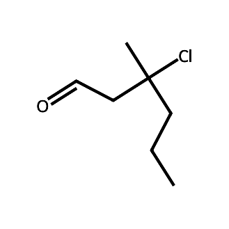 CCCC(C)(Cl)CC=O